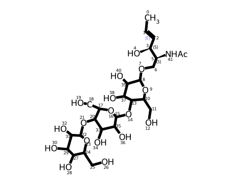 C/C=C/[C@H](O)[C@H](COC1OC(CO)C(OC2OC(CO)C(OC3OC(CO)C(O)C(O)C3O)C(O)C2O)C(O)C1O)NC(C)=O